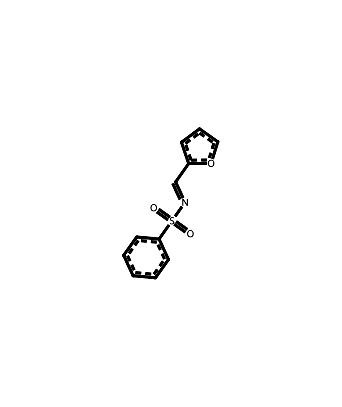 O=S(=O)(/N=C/c1ccco1)c1ccccc1